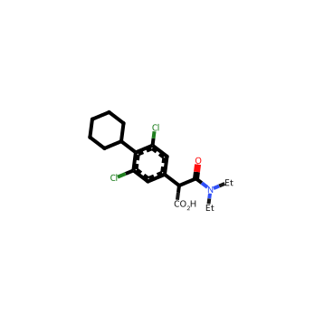 CCN(CC)C(=O)C(C(=O)O)c1cc(Cl)c(C2CCCCC2)c(Cl)c1